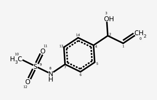 C=CC(O)c1ccc(NS(C)(=O)=O)cc1